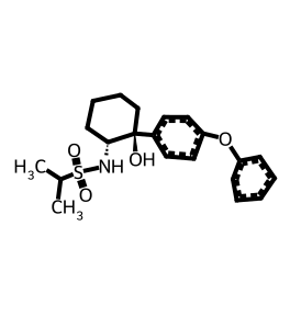 CC(C)S(=O)(=O)N[C@@H]1CCCC[C@]1(O)c1ccc(Oc2ccccc2)cc1